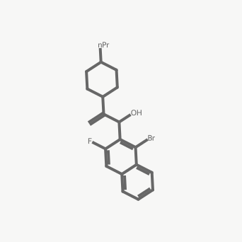 C=C(C1CCC(CCC)CC1)C(O)c1c(F)cc2ccccc2c1Br